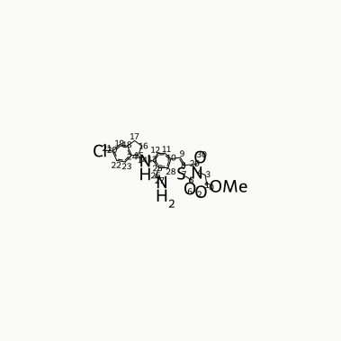 COC(=O)CN1C(=O)S/C(=C\c2ccc(N[C@@H]3CCc4cc(Cl)ccc43)c(CN)c2)C1=O